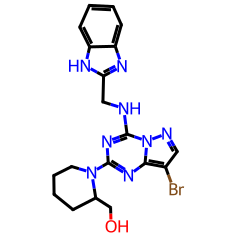 OCC1CCCCN1c1nc(NCc2nc3ccccc3[nH]2)n2ncc(Br)c2n1